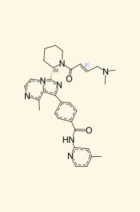 Cc1ccnc(NC(=O)c2ccc(-c3nc([C@@H]4CCCCN4C(=O)/C=C/CN(C)C)n4ccnc(C)c34)cc2)c1